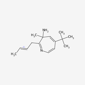 C/C=C/CC1=NC=CC(C(C)(C)C)=CC1(C)N